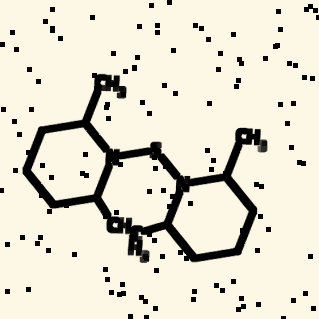 CC1CCCC(C)N1SN1C(C)CCCC1C